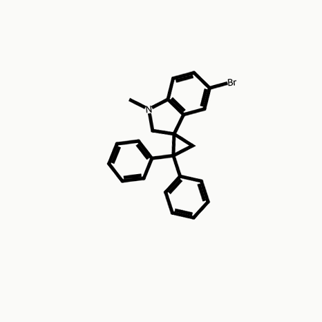 CN1CC2(CC2(c2ccccc2)c2ccccc2)c2cc(Br)ccc21